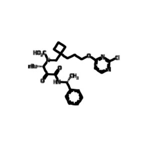 CCCC[C@@H](C(=O)C(=O)N[C@H](C)c1ccccc1)N(CC1(CCCOc2ccnc(Cl)n2)CCC1)C(=O)O